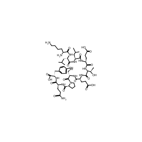 CC(C)C[C@H](NC(=O)[C@H](CC(C)C)NC(=O)[C@@H](N)CCCCN)C(=O)N[C@@H](CCC(=O)O)C(=O)N[C@H](C(=O)N[C@@H](CCC(=O)O)C(=O)N[C@@H](CS)C(=O)N1CCC[C@H]1C(=O)N[C@@H](CCC(N)=O)C(=O)N[C@@H](Cc1ccc(O)cc1)C(=O)O)[C@@H](C)O